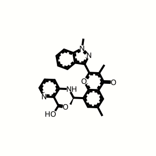 Cc1cc([C@@H](C)Nc2cccnc2C(=O)O)c2oc(-c3nn(C)c4ccccc34)c(C)c(=O)c2c1